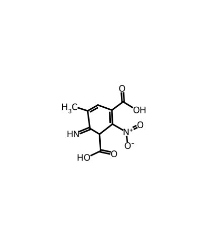 CC1=CC(C(=O)O)=C([N+](=O)[O-])C(C(=O)O)C1=N